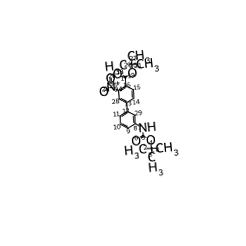 CC(C)(C)OC(=O)Nc1cccc(-c2ccc(C(=O)OC(C)(C)C)c([N+](=O)[O-])c2)c1